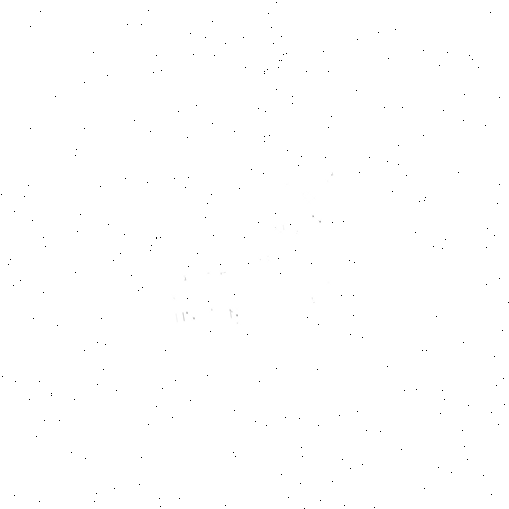 O=C(N=S(=O)=O)c1ccccc1Oc1cnc2[nH]ccc2c1